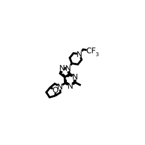 Cc1nc(N2CC3CCC(C2)O3)c2cnn(C3CCN(CC(F)(F)F)CC3)c2n1